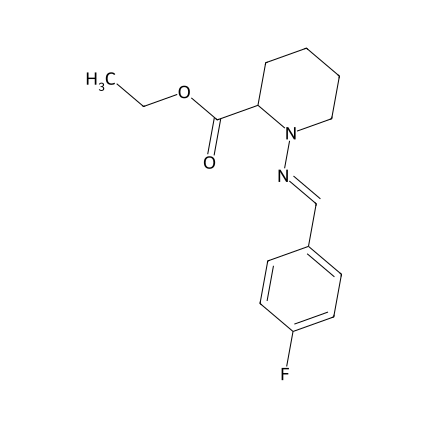 CCOC(=O)C1CCCCN1N=Cc1ccc(F)cc1